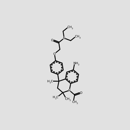 CCN(CC)C(=O)COc1ccc(C2(C)CC(C)(C)N(C(C)=O)c3ccc(N)cc32)cc1